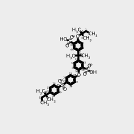 CCC(C)(C)Oc1ccc(C(C)(C)c2ccc(Oc3ccc(S(=O)(=O)c4ccc(C(C)(C)CC)cc4)cc3)c(S(=O)(=O)O)c2)cc1S(=O)(=O)O